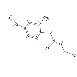 CCOC(=O)Cc1ccc(OC)cc1C